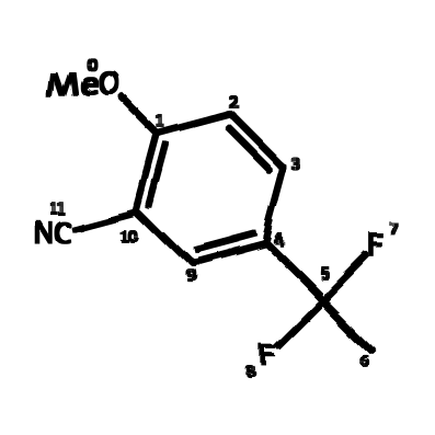 COc1ccc(C(C)(F)F)cc1C#N